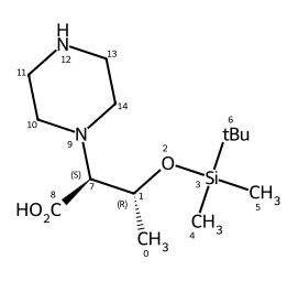 C[C@@H](O[Si](C)(C)C(C)(C)C)[C@@H](C(=O)O)N1CCNCC1